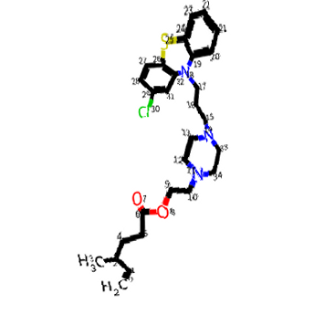 C=CC(C)CCC(=O)OCCN1CCN(CCCN2c3ccccc3Sc3ccc(Cl)cc32)CC1